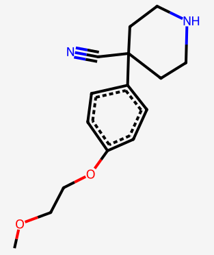 COCCOc1ccc(C2(C#N)CCNCC2)cc1